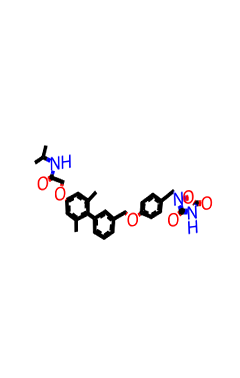 Cc1cc(OCC(=O)NC(C)C)cc(C)c1-c1cccc(COc2ccc(Cn3oc(=O)[nH]c3=O)cc2)c1